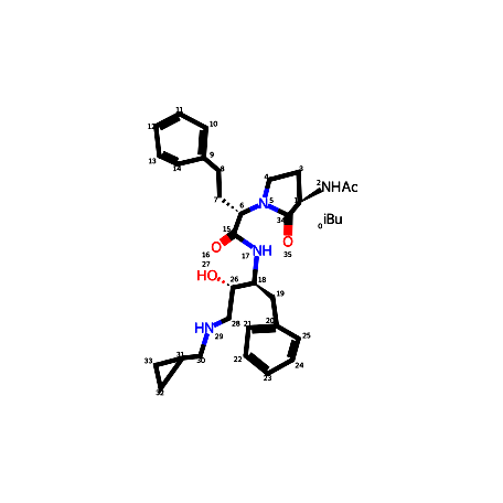 CC[C@H](C)[C@@]1(NC(C)=O)CCN([C@@H](CCc2ccccc2)C(=O)N[C@@H](Cc2ccccc2)[C@@H](O)CNCC2CC2)C1=O